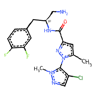 Cc1cc(C(=O)N[C@H](CN)Cc2ccc(F)c(F)c2)nn1-c1c(Cl)cnn1C